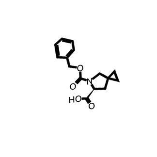 O=C(O)[C@@H]1CC2(CC2)CN1C(=O)OCc1ccccc1